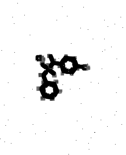 CC(c1ccc(Cl)cc1)[N+](C)(C)Cc1ccccc1.[Cl-]